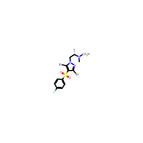 CCc1nn(C[C@H](C)N(C)C(=O)O)c(CC)c1S(=O)(=O)c1ccc(F)cc1